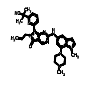 C=CCn1c(=O)c2cnc(Nc3cc(N4CCN(C)CC4)c4c(ccn4C)c3)nc2n1-c1cccc(C(C)(C)O)n1